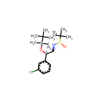 CC(C)(C)[S+]([O-])/N=C/[C@H](O[Si](C)(C)C(C)(C)C)c1cccc(Cl)c1